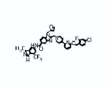 Cc1n[nH]c2c(C(F)(F)F)cc(NC(=O)c3ccc4c(c3)nc(CN3CC=C(c5cccc(OCc6ccc(Cl)cc6F)n5)CC3)n4C[C@@H]3CCO3)cc12